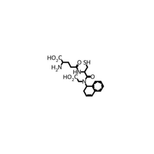 NC(CCC(=O)NC(CS)C(=O)N(CC(=O)O)C1CC=Cc2ccccc21)C(=O)O